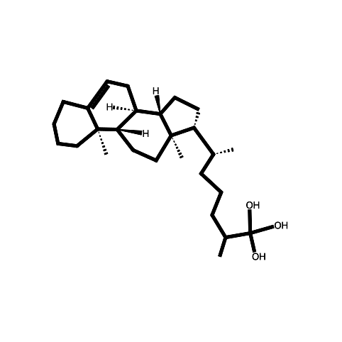 CC(CCC[C@@H](C)[C@H]1CC[C@H]2[C@@H]3CC=C4CCCC[C@]4(C)[C@H]3CC[C@]12C)C(O)(O)O